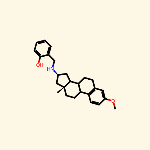 COc1ccc2c(c1)CCC1C2CC[C@]2(C)C[C@@H](NCc3ccccc3O)CC12